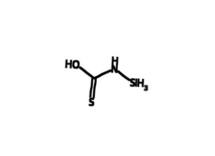 OC(=S)N[SiH3]